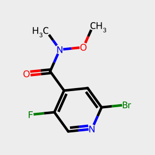 CON(C)C(=O)c1cc(Br)ncc1F